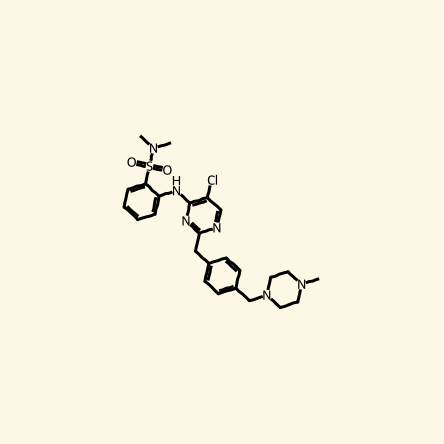 CN1CCN(Cc2ccc(Cc3ncc(Cl)c(Nc4ccccc4S(=O)(=O)N(C)C)n3)cc2)CC1